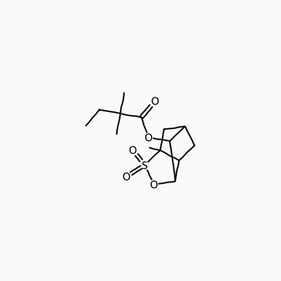 CCC(C)(C)C(=O)OC1C2CC3C1OS(=O)(=O)C3(C)C2